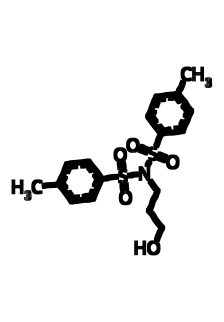 Cc1ccc(S(=O)(=O)N(CCCO)S(=O)(=O)c2ccc(C)cc2)cc1